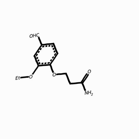 CCOc1cc(C=O)ccc1OCCC(N)=O